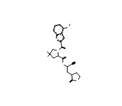 C#CC(CC1CCNC1=O)NC(=O)C1CC(C)(C)CN1C(=O)c1cc2c(OC)cccc2[nH]1